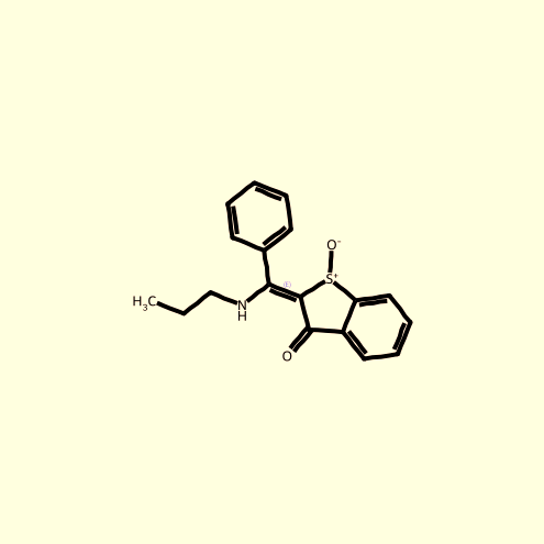 CCCN/C(=C1\C(=O)c2ccccc2[S+]1[O-])c1ccccc1